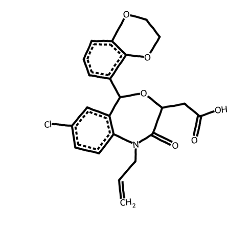 C=CCN1C(=O)C(CC(=O)O)OC(c2cccc3c2OCCO3)c2cc(Cl)ccc21